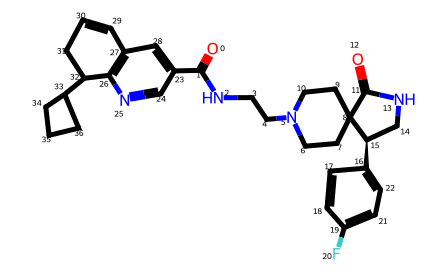 O=C(NCCN1CCC2(CC1)C(=O)NC[C@H]2c1ccc(F)cc1)c1cnc2c(c1)C=CCC2C1CCC1